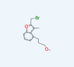 COCCCc1cccc2oc(CBr)c(C)c12